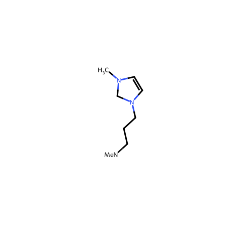 CNCCCN1C=CN(C)C1